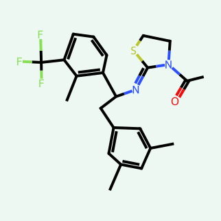 CC(=O)N1CCS/C1=N\C(Cc1cc(C)cc(C)c1)c1cccc(C(F)(F)F)c1C